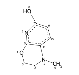 CN1CCOc2nc(O)[c]cc21